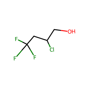 OCC(Cl)CC(F)(F)F